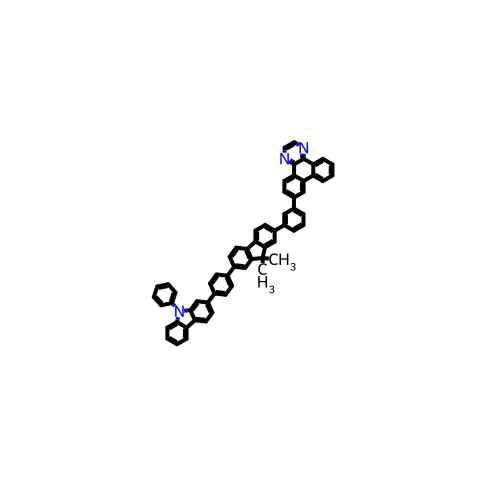 CC1(C)c2cc(-c3ccc(-c4ccc5c6ccccc6n(-c6ccccc6)c5c4)cc3)ccc2-c2ccc(-c3cccc(-c4ccc5c(c4)c4ccccc4c4nccnc54)c3)cc21